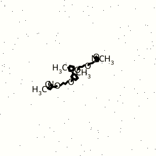 Cc1ccc(OCCCOCCc2cc(C)on2)c(-c2cc(OCCCCOCc3cc(C)on3)ccc2C)c1